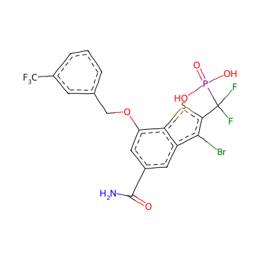 NC(=O)c1cc(OCc2cccc(C(F)(F)F)c2)c2sc(C(F)(F)P(=O)(O)O)c(Br)c2c1